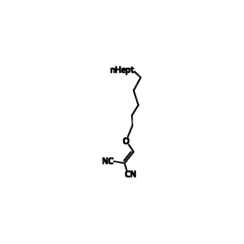 CCCCCCCCCCCCOC=C(C#N)C#N